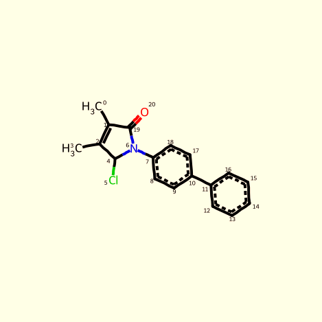 CC1=C(C)C(Cl)N(c2ccc(-c3ccccc3)cc2)C1=O